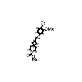 COc1cc(OCC2CC3(CCN(C(=O)OC(C)(C)C)CC3)C2)ccc1N